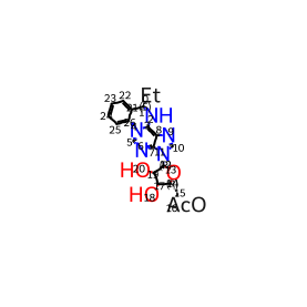 CC[C@H](Nc1ncnc2c1ncn2[C@@H]1O[C@H](COC(C)=O)C(O)C1O)c1ccccc1